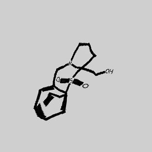 C=CCS(=O)(=O)C1(CO)CCCN1Cc1ccccc1